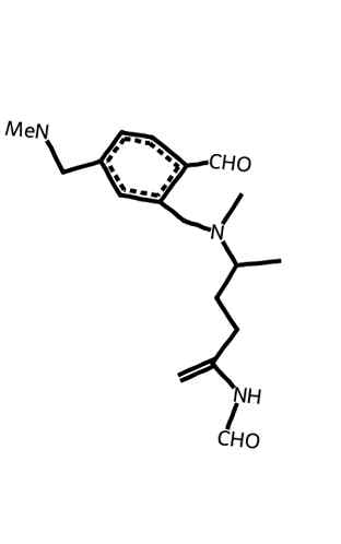 C=C(CCC(C)N(C)Cc1cc(CNC)ccc1C=O)NC=O